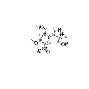 COc1cc(CO)c(-c2cnn(C)c2CO)cc1[N+](=O)[O-]